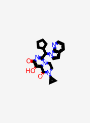 O=C1c2c(O)c(=O)nc(C(C3CCCC3)n3ccc4cccnc43)n2CCN1C1CC1